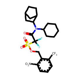 O=C(N(C1CCCCC1)C1CC2CCC1C2)C(F)(F)S(=O)(=O)OCc1c([N+](=O)[O-])cccc1C(F)(F)F